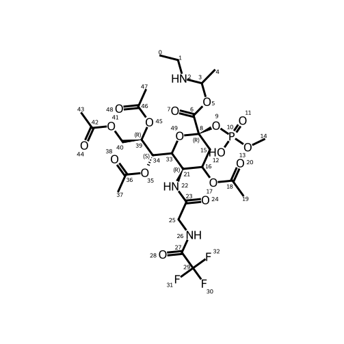 CCNC(C)OC(=O)[C@]1(OP(=O)(O)OC)CC(OC(C)=O)[C@@H](NC(=O)CNC(=O)C(F)(F)F)C([C@H](OC(C)=O)[C@@H](COC(C)=O)OC(C)=O)O1